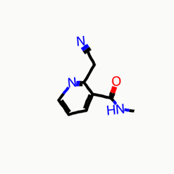 CNC(=O)c1cccnc1CC#N